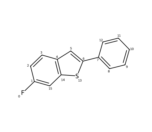 Fc1ccc2cc(-c3ccccc3)sc2c1